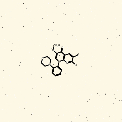 O=C(O)Oc1cn(-c2ccccc2N2CCOCC2)c2nc(Cl)c(F)cc2c1=O